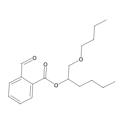 CCCCOCC(CCCC)OC(=O)c1ccccc1[C]=O